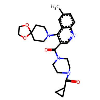 Cc1ccc2ncc(C(=O)N3CCN(C(=O)C4CC4)CC3)c(N3CCC4(CC3)OCCO4)c2c1